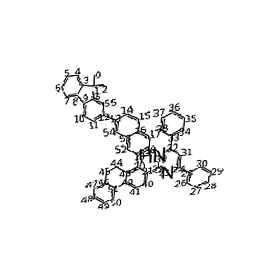 CC1(C)c2ccccc2-c2ccc(-c3ccc4ccc(-c5c(C6=NC(c7ccccc7)=CC(c7ccccc7)N6)ccc6c5CCc5ccccc5-6)cc4c3)cc21